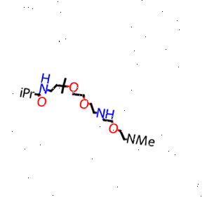 CNCCOCCNCCOCCOC(C)(C)CCNC(=O)C(C)C